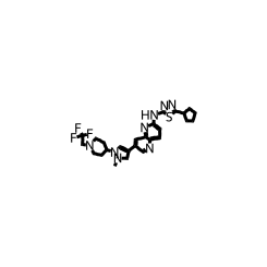 CN1CC(c2cnc3ccc(Nc4nnc(C5CCCC5)s4)nc3c2)=CN1C1CCN(CC(F)(F)F)CC1